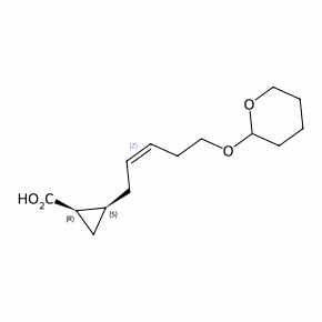 O=C(O)[C@@H]1C[C@@H]1C/C=C\CCOC1CCCCO1